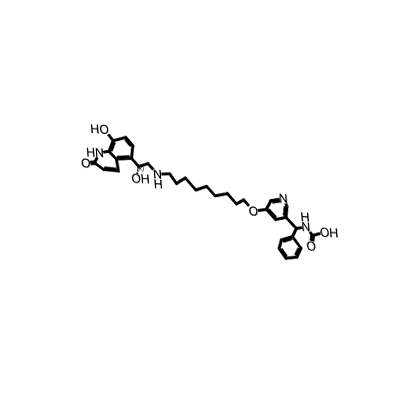 O=C(O)NC(c1ccccc1)c1cncc(OCCCCCCCCCNC[C@H](O)c2ccc(O)c3[nH]c(=O)ccc23)c1